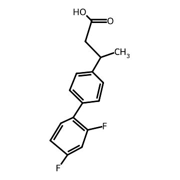 CC(CC(=O)O)c1ccc(-c2ccc(F)cc2F)cc1